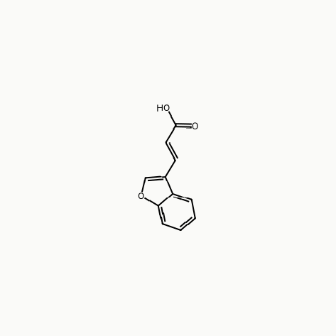 O=C(O)C=Cc1coc2ccccc12